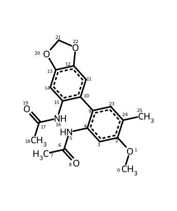 COc1cc(NC(C)=O)c(-c2cc3c(cc2NC(C)=O)OCO3)cc1C